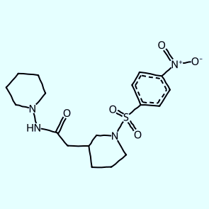 O=C(CC1CCCN(S(=O)(=O)c2ccc([N+](=O)[O-])cc2)C1)NN1CCCCC1